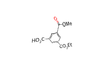 CCOC(=O)c1cc(C(=O)O)cc(C(=O)OC)c1